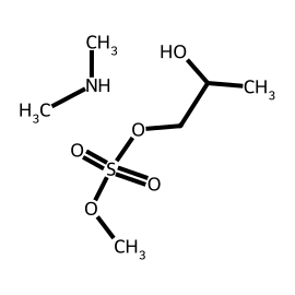 CNC.COS(=O)(=O)OCC(C)O